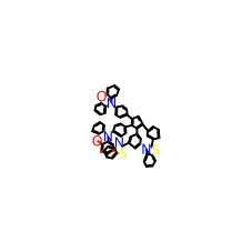 c1cc(-c2nc3ccccc3s2)cc(-c2ccc(-c3ccc(N4c5ccccc5Oc5ccccc54)cc3)c(-c3ccc(N4c5ccccc5Oc5ccccc54)cc3)c2-c2cccc(-c3nc4ccccc4s3)c2)c1